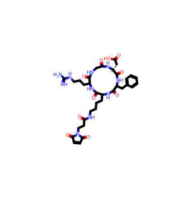 N=C(N)NCCCC1NC(=O)C(CCCCNC(=O)CCN2C(=O)C=CC2=O)NC(=O)C(Cc2ccccc2)NC(=O)[C@@H](CC(=O)O)NC(=O)CNC1=O